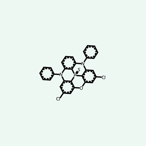 S=P12c3c4cc(Cl)cc3N(c3ccccc3)c3cccc(c31)N(c1ccccc1)c1cc(Cl)cc(c12)O4